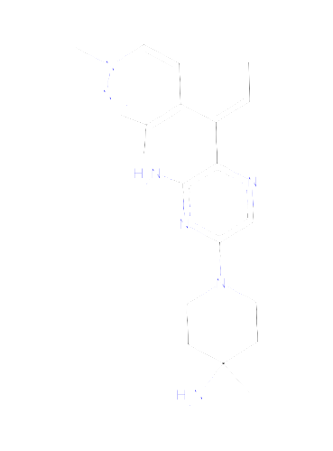 CC=C(C(/C=C\N(C)N)=C(C)C)c1ncc(N2CCC(C)(N)CC2)nc1N